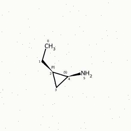 CC[C@@H]1C[C@@H]1N